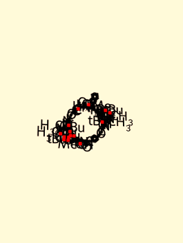 COC(=O)[C@@H]1Cc2ccc(cc2)OCc2cn(nn2)[C@H]2C[C@@H](C(=O)N[C@@H](Cc3ccc4ccccc4c3)C(=O)N[C@H](C(=O)OC)c3ccc(cc3)OCc3cn(nn3)[C@H]3C[C@@H](C(=O)N[C@@H](Cc4ccc5ccccc5c4)C(=O)N1)N(C(=O)[C@@H](NC(=O)[C@H](C)N(C)C(=O)OC(C)(C)C)C(C)(C)C)C3)N(C(=O)[C@@H](NC(=O)[C@H](C)N(C)C(=O)OC(C)(C)C)C(C)(C)C)C2